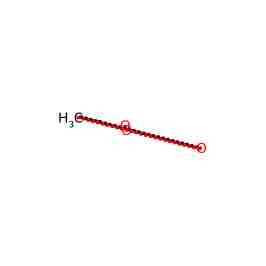 CCCCCCCCC=CCC=CCCCCCCC(=O)OCCCCCCCCCCCCCCCCCCCCCCCCCCCCCC=O